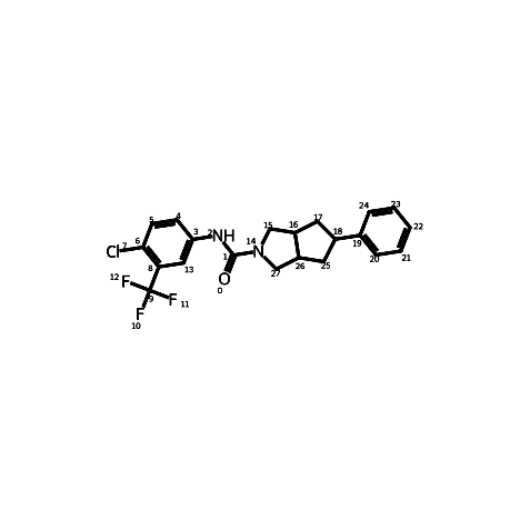 O=C(Nc1ccc(Cl)c(C(F)(F)F)c1)N1CC2CC(c3ccccc3)CC2C1